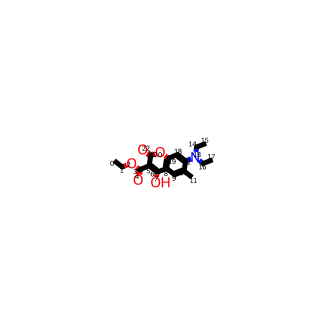 CCOC(=O)c1c(O)c2cc(C)c(N(CC)CC)cc2oc1=O